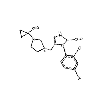 O=CC1NN=C(C[C@@H]2CCN(C3(C=O)CC3)C2)N1c1ccc(Br)cc1Cl